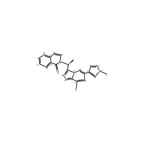 C[C@@H](c1nnc2c(F)cc(-c3cnn(C)c3)cn12)n1ccc2ncccc2c1=O